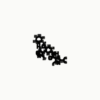 Cc1nc(C(C)C)sc1C(=O)Nc1ccc(OC[C@H]2CCCCN2)c(-c2c(C)noc2C)c1